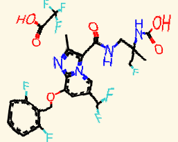 Cc1nc2c(OCc3c(F)cccc3F)cc(C(F)F)cn2c1C(=O)NCC(C)(CF)NC(=O)O.O=C(O)C(F)(F)F